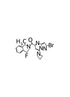 CC1c2ccccc2C(F)CN1C(=O)c1cc(N2CCC2)n2nc(Br)cc2n1